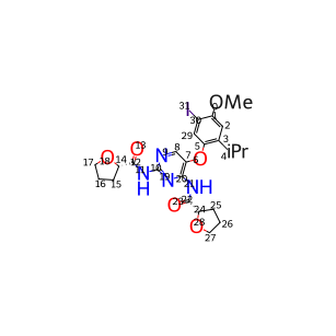 COc1cc(C(C)C)c(Oc2cnc(NC(=O)[C@@H]3CCCO3)nc2NC(=O)[C@@H]2CCCO2)cc1I